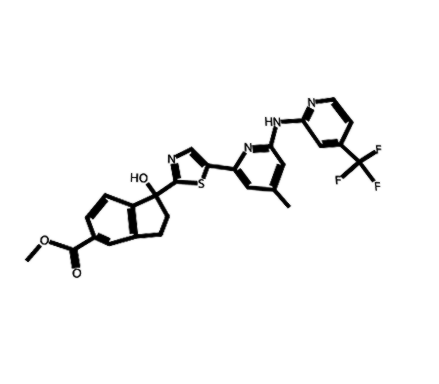 COC(=O)c1ccc2c(c1)CCC2(O)c1ncc(-c2cc(C)cc(Nc3cc(C(F)(F)F)ccn3)n2)s1